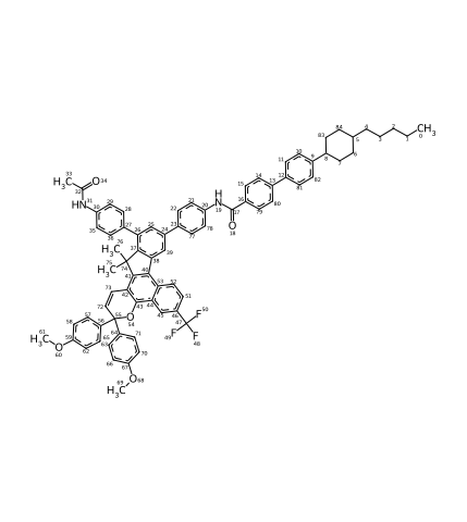 CCCCCC1CCC(c2ccc(-c3ccc(C(=O)Nc4ccc(-c5cc(-c6ccc(NC(C)=O)cc6)c6c(c5)-c5c(c7c(c8cc(C(F)(F)F)ccc58)OC(c5ccc(OC)cc5)(c5ccc(OC)cc5)C=C7)C6(C)C)cc4)cc3)cc2)CC1